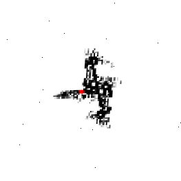 COc1cc2c(c(Cl)c1OC)CCNC2CCCC(CCCCC(CCCC1NCCc2c1cc(OC)c(OC)c2Cl)C1NCCc2c1cc(OC)c(OC)c2Cl)C1NCCc2c1cc(OC)c(OC)c2Cl.Cl.Cl.Cl.Cl.O.O.O.O